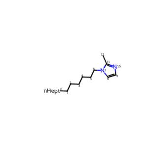 CCCCCCCCCCCCCn1ccnc1C